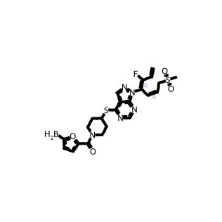 Bc1ccc(C(=O)N2CCC(Sc3ncnc4c3cnn4C(/C=C\CS(C)(=O)=O)=C(\F)C=C)CC2)o1